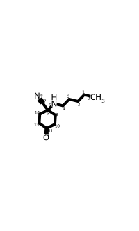 CCCCCNC1(C#N)CCC(=O)CC1